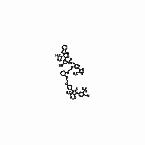 Cc1ncsc1-c1ccc(CNC(=O)[C@@H]2C[C@@H](O)CN2C(=O)[C@H](C(C)C)N2Cc3ccccc3C2=O)c(OCCO[C@@H]2CCCC[C@@H]2OCCOc2ccc(N3C(=S)N(c4ccc(C#N)c(C(F)(F)F)c4)C(=O)C3(C)C)cc2)c1